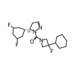 O=C(N1CC(F)(C2CCCCC2)C1)N1N=CC[C@H]1C1CC(F)CC(F)C1